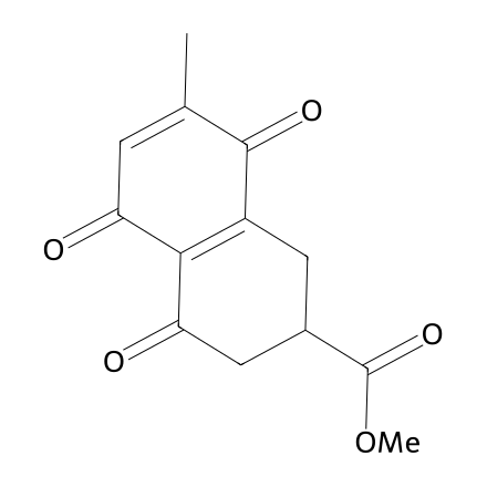 COC(=O)C1CC(=O)C2=C(C1)C(=O)C(C)=CC2=O